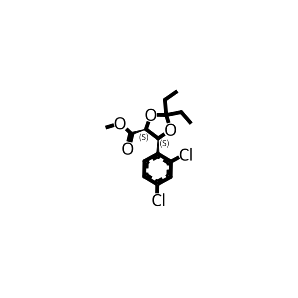 CCC1(CC)O[C@H](C(=O)OC)[C@H](c2ccc(Cl)cc2Cl)O1